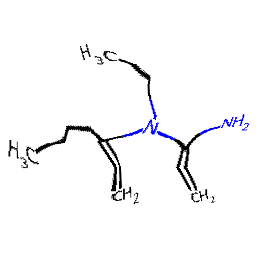 C=C(N)N(CC)C(=C)CC